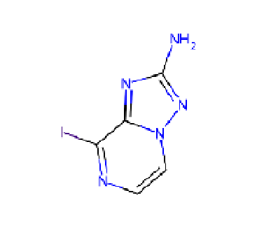 Nc1nc2c(I)nccn2n1